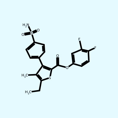 CCc1sc(C(=O)Oc2ccc(F)c(F)c2)c(-c2ccc(S(N)(=O)=O)cc2)c1C